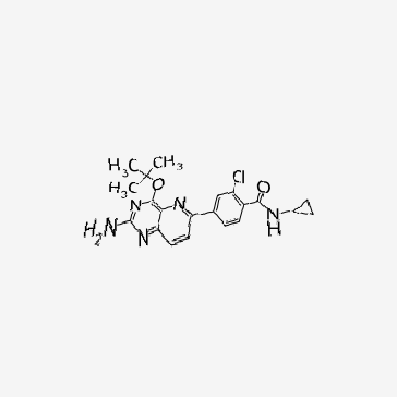 CC(C)(C)Oc1nc(N)nc2ccc(-c3ccc(C(=O)NC4CC4)c(Cl)c3)nc12